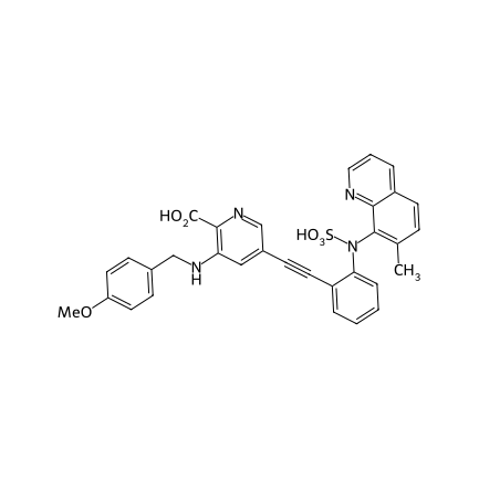 COc1ccc(CNc2cc(C#Cc3ccccc3N(c3c(C)ccc4cccnc34)S(=O)(=O)O)cnc2C(=O)O)cc1